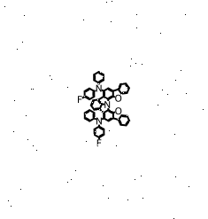 Fc1ccc(N(c2ccccc2)c2cc3c4ccccc4oc3c3c2c2cccc4c5c(N(c6ccccc6)c6ccc(F)cc6)cc6c7ccccc7oc6c5n3c24)cc1